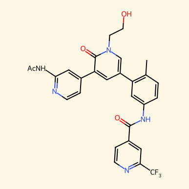 CC(=O)Nc1cc(-c2cc(-c3cc(NC(=O)c4ccnc(C(F)(F)F)c4)ccc3C)cn(CCO)c2=O)ccn1